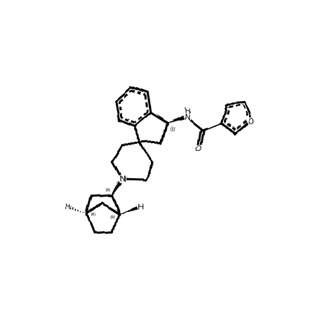 O=C(N[C@H]1CC2(CCN([C@@H]3C[C@@H]4CC[C@@H]3C4)CC2)c2ccccc21)c1ccoc1